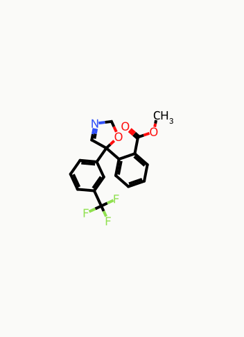 COC(=O)c1ccccc1C1(c2cccc(C(F)(F)F)c2)C=NCO1